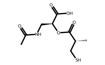 CC(=O)NC[C@H](OC(=O)[C@H](C)CS)C(=O)O